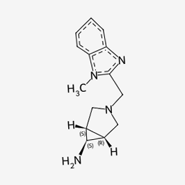 Cn1c(CN2C[C@@H]3[C@@H](N)[C@@H]3C2)nc2ccccc21